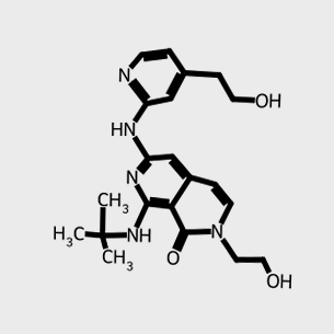 CC(C)(C)Nc1nc(Nc2cc(CCO)ccn2)cc2ccn(CCO)c(=O)c12